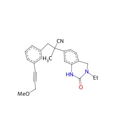 CCN1Cc2ccc(C(C)(C#N)Cc3cccc(C#CCOC)c3)cc2NC1=O